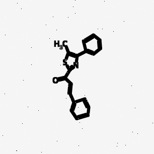 Cc1sc(C(=O)C=Cc2ccccc2)nc1-c1ccccc1